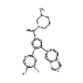 N#Cc1ccc(-c2cc(C(=O)N3CCCC(N)C3)sc2-c2ccn3cncc3c2)cc1F